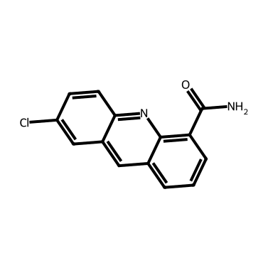 NC(=O)c1cccc2cc3cc(Cl)ccc3nc12